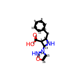 O=C(O)C1C(Cc2ccccc2)NC1N1C=CON1